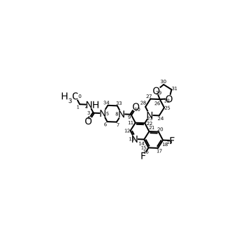 CCNC(=O)N1CCN(C(=O)c2cnc3c(F)cc(F)cc3c2N2CCC3(CC2)OCCO3)CC1